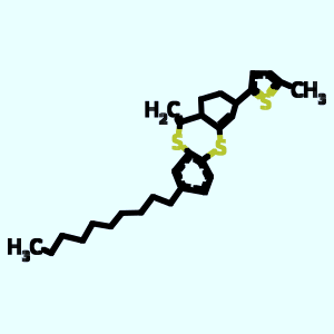 C=C1Sc2cc(CCCCCCCCCC)ccc2SC2=CC(c3ccc(C)s3)CCC12